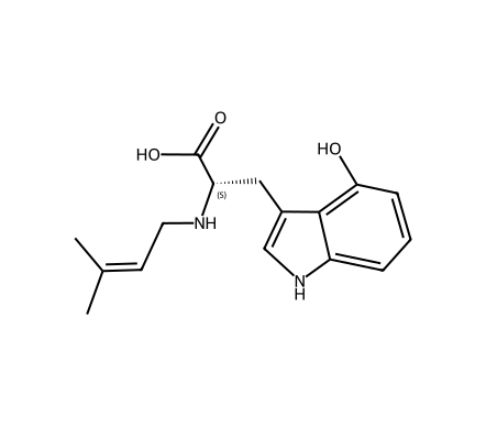 CC(C)=CCN[C@@H](Cc1c[nH]c2cccc(O)c12)C(=O)O